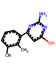 Cc1c(C#N)cccc1-c1cc(O)nc(N)n1